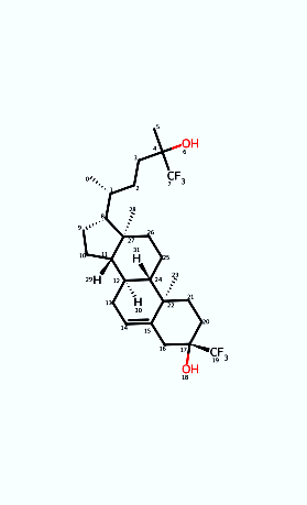 C[C@H](CCC(C)(O)C(F)(F)F)[C@H]1CC[C@H]2[C@@H]3CC=C4C[C@](O)(C(F)(F)F)CC[C@]4(C)[C@H]3CC[C@]12C